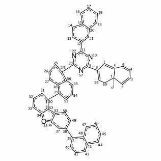 CC12C=CC=CC1=CC(c1nc(-c3ccc4ccccc4c3)nc(-c3cccc4c(-c5cccc6oc7cc(-c8cccc9ccccc89)ccc7c56)cccc34)n1)=CC2